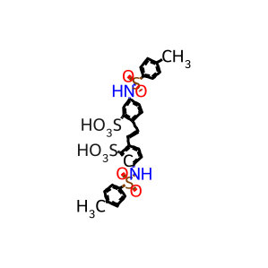 Cc1ccc(S(=O)(=O)Nc2ccc(/C=C/c3ccc(NS(=O)(=O)c4ccc(C)cc4)cc3S(=O)(=O)O)c(S(=O)(=O)O)c2)cc1